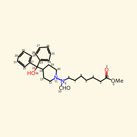 COC(=O)CCCCCCN(C=O)N1CCC(C(O)(c2ccccc2)c2ccccc2)CC1